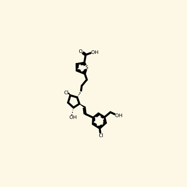 O=C(O)c1ccc(CCC[C@@H]2[C@@H](C=Cc3cc(Cl)cc(CO)c3)[C@H](O)C[C@H]2Cl)s1